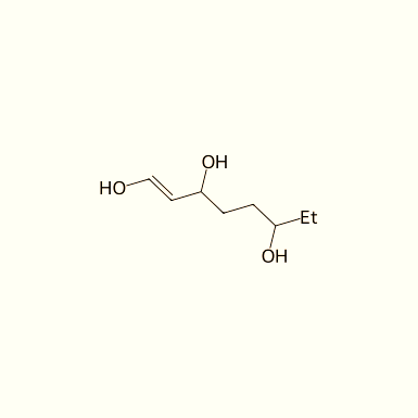 CCC(O)CCC(O)C=CO